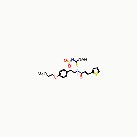 CNC(=S)N=S(=O)=O.COCCOc1ccc(CCNC(=O)C=Cc2cccs2)cc1